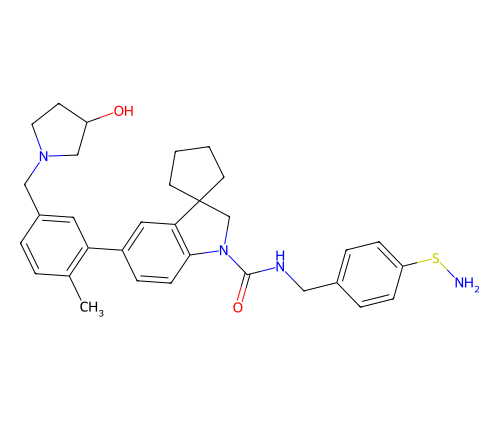 Cc1ccc(CN2CCC(O)C2)cc1-c1ccc2c(c1)C1(CCCC1)CN2C(=O)NCc1ccc(SN)cc1